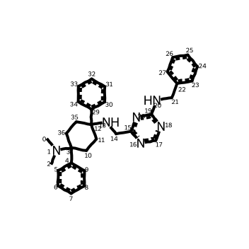 CN(C)C1(c2ccccc2)CCC(NCc2ncnc(NCc3ccccc3)n2)(c2ccccc2)CC1